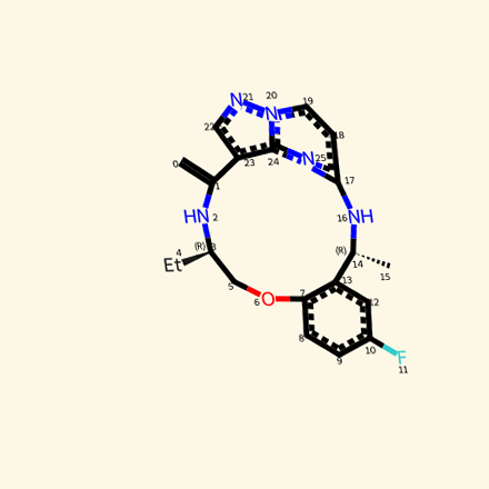 C=C1N[C@H](CC)COc2ccc(F)cc2[C@@H](C)Nc2ccn3ncc1c3n2